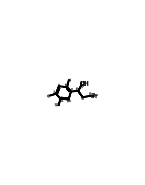 Cc1cc(C)c(C(O)CC(C)C)cc1C